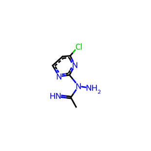 CC(=N)N(N)c1nccc(Cl)n1